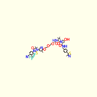 Cc1cc(N2C(=S)N(c3ccc(C#N)c(C(F)(F)F)c3F)C(=O)C2(C)C)cnc1OCCOCCOCC(=O)N[C@H](C(=O)N1C[C@H](O)C[C@H]1C(=O)NCc1ccc(-c2scnc2C)cc1)C(C)(C)C